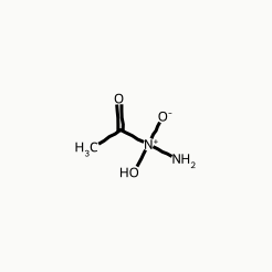 CC(=O)[N+](N)([O-])O